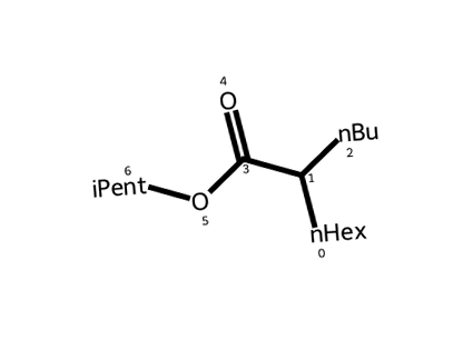 CCCCCCC(CCCC)C(=O)OC(C)CCC